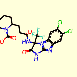 O=C(CCC1CCCCN1C(=O)O)NC1(C(F)(F)F)C(=O)Nc2nc3cc(Cl)c(Cl)cc3n21